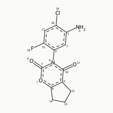 Nc1cc(-n2c(=O)oc3c(c2=O)CCC3)c(F)cc1Cl